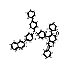 c1ccc(-c2ccc(N(c3ccc(-c4ccc5ccccc5c4)cc3)c3ccc(-c4c5nc(-c6ccccc6)sc5cc5oc6ccccc6c45)cc3)cc2)cc1